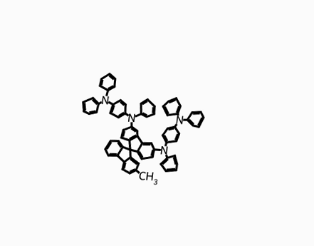 Cc1ccc2c(c1)C1(c3ccccc3-2)c2ccc(N(c3ccccc3)c3ccc(N(c4ccccc4)c4ccccc4)cc3)cc2-c2cc(N(c3ccccc3)c3ccc(N(c4ccccc4)c4ccccc4)cc3)ccc21